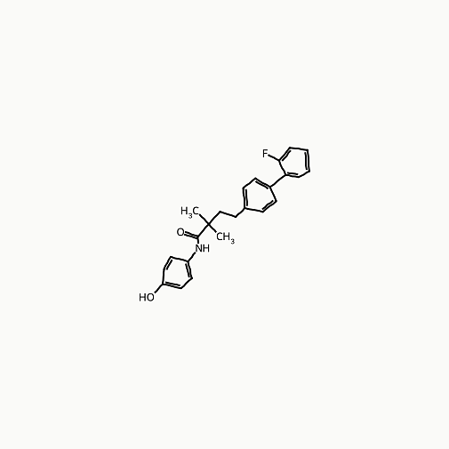 CC(C)(CCc1ccc(-c2ccccc2F)cc1)C(=O)Nc1ccc(O)cc1